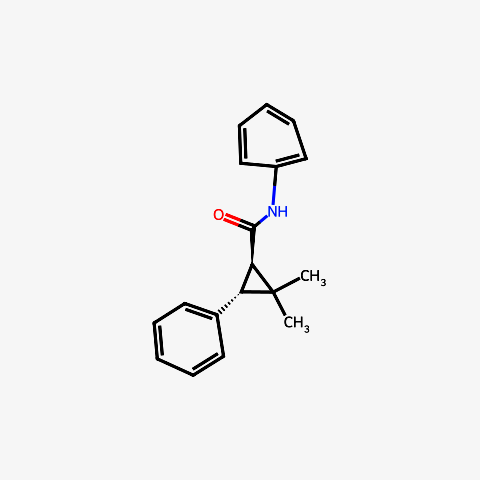 CC1(C)[C@H](C(=O)Nc2ccccc2)[C@H]1c1ccccc1